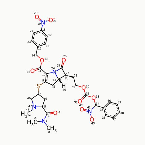 CN(C)C(=O)C1CC(SC2=C(C(=O)OCc3ccc([N+](=O)[O-])cc3)N3C(=O)[C@@H](CCOC(=O)OC(c4ccccc4)[N+](=O)[O-])[C@@H]3C2)CN1C